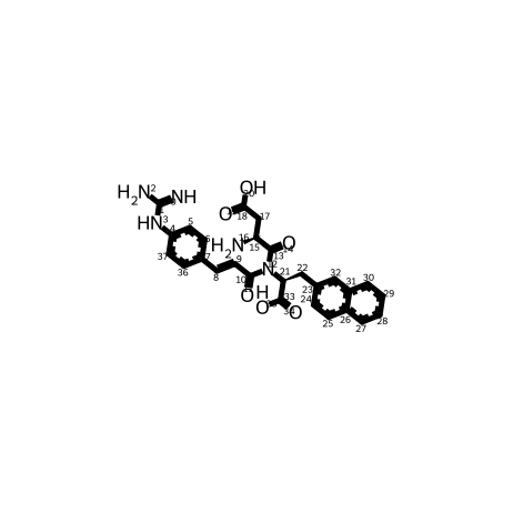 N=C(N)Nc1ccc(C=CC(=O)N(C(=O)[C@@H](N)CC(=O)O)[C@@H](Cc2ccc3ccccc3c2)C(=O)O)cc1